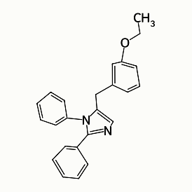 CCOc1cccc(Cc2cnc(-c3ccccc3)n2-c2ccccc2)c1